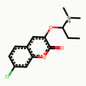 CCC(Oc1cc2ccc(Cl)cc2oc1=O)[SiH](C)C